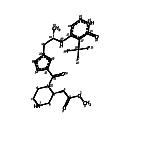 COC(=O)C[C@H]1CNCCN1C(=O)c1ccn(C[C@H](C)Nc2cn[nH]c(=O)c2C(F)(F)F)c1